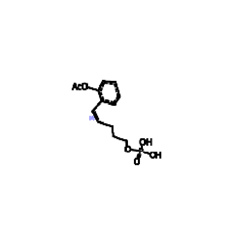 CC(=O)Oc1ccccc1/C=C\CCCOP(=O)(O)O